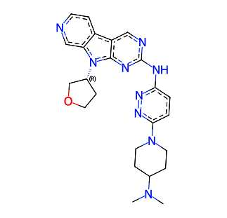 CN(C)C1CCN(c2ccc(Nc3ncc4c5ccncc5n([C@@H]5CCOC5)c4n3)nn2)CC1